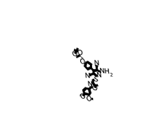 COc1ccc(-c2nc(CSc3nc(N)c(C#N)c(-c4ccc(OC[C@@H]5COC(C)(C)O5)cc4)c3C#N)c(C)o2)cc1OC